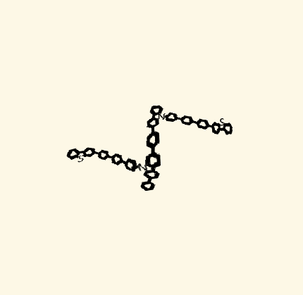 c1ccc(-c2ccc3c4ccc(-c5ccc(-c6ccc7c8ccccc8n(-c8ccc(-c9ccc(-c%10ccc(-c%11ccc%12c(c%11)sc%11ccccc%11%12)cc%10)cc9)cc8)c7c6)cc5)cc4n(-c4ccc(-c5ccc(-c6ccc(-c7ccc8c(c7)sc7ccccc78)cc6)cc5)cc4)c3c2)cc1